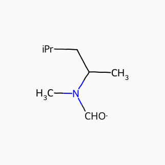 CC(C)CC(C)N(C)[C]=O